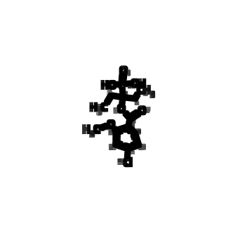 CCC(CC)(OC(=O)c1ccc(Cl)cc1OC)P(=O)(O)O